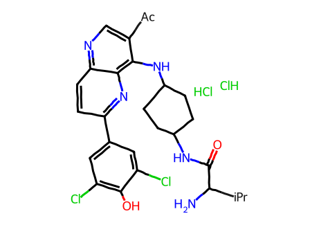 CC(=O)c1cnc2ccc(-c3cc(Cl)c(O)c(Cl)c3)nc2c1NC1CCC(NC(=O)C(N)C(C)C)CC1.Cl.Cl